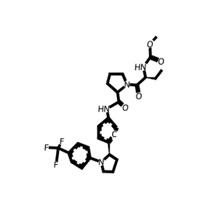 CC[C@H](NC(=O)OC)C(=O)N1CCCC1C(=O)Nc1ccc([C@H]2CCCN2c2ccc(C(F)(F)F)cc2)cc1